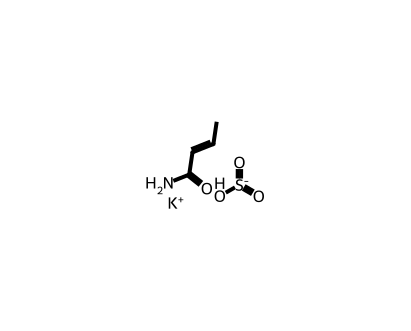 CC=CC(N)=O.O=[S-](=O)O.[K+]